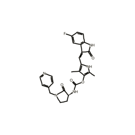 Cc1[nH]c(/C=C2\C(=O)Nc3ccc(F)cc32)c(C)c1OC(=O)N[C@H]1CCN(Cc2ccncc2)C1=O